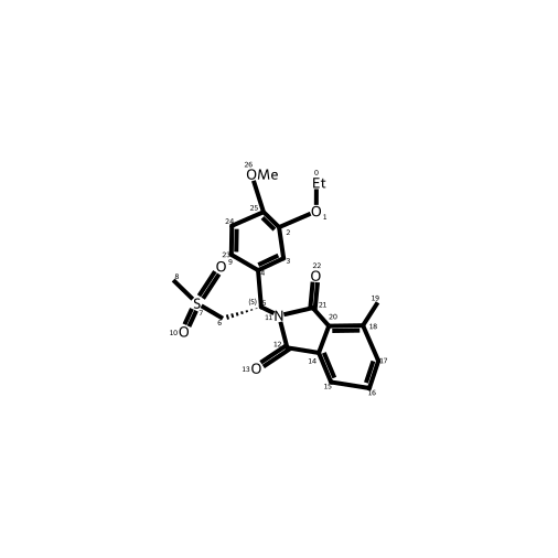 CCOc1cc([C@@H](CS(C)(=O)=O)N2C(=O)c3cccc(C)c3C2=O)ccc1OC